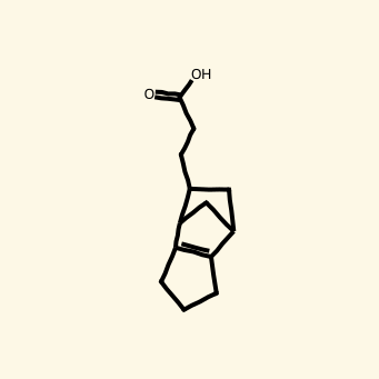 O=C(O)CCC1CC2CC1C1=C2CCC1